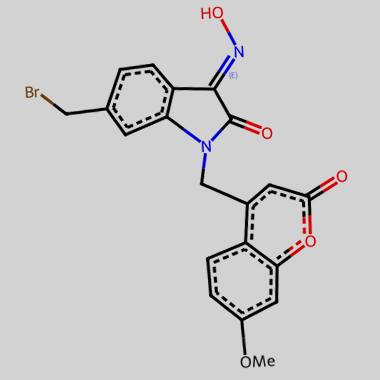 COc1ccc2c(CN3C(=O)/C(=N/O)c4ccc(CBr)cc43)cc(=O)oc2c1